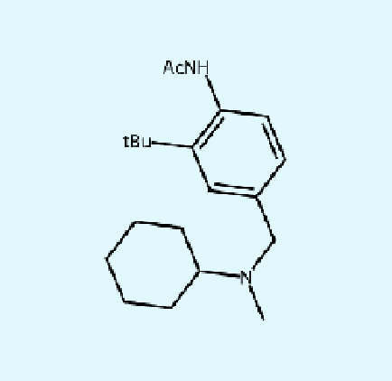 CC(=O)Nc1ccc(CN(C)C2CCCCC2)cc1C(C)(C)C